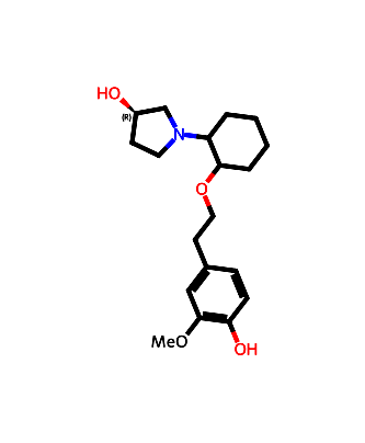 COc1cc(CCOC2CCCCC2N2CC[C@@H](O)C2)ccc1O